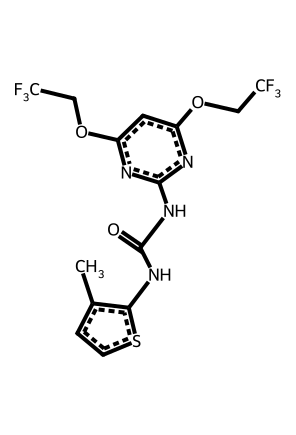 Cc1ccsc1NC(=O)Nc1nc(OCC(F)(F)F)cc(OCC(F)(F)F)n1